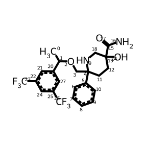 CC(OCC1(c2ccccc2)CCC(O)(C(N)=O)CN1)c1cc(C(F)(F)F)cc(C(F)(F)F)c1